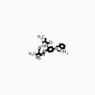 CCC(I)C(=O)Nc1cc(N(CC)Cc2ccccc2)ccc1N=Nc1snc(C)c1C#N